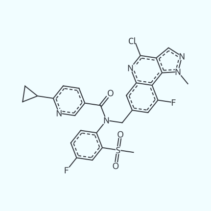 Cn1ncc2c(Cl)nc3cc(CN(C(=O)c4ccc(C5CC5)nc4)c4ccc(F)cc4S(C)(=O)=O)cc(F)c3c21